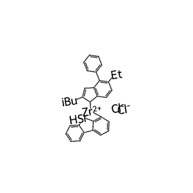 CCc1ccc2c(c1-c1ccccc1)C=C(C(C)CC)[CH]2[Zr+2]1[c]2cccc3c2[SiH]1c1ccccc1-3.[Cl-].[Cl-]